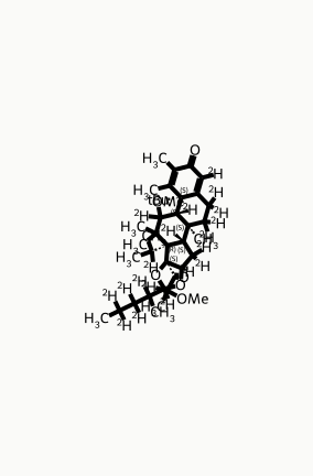 [2H]C1=C2C([2H])([2H])C([2H])([2H])[C@@]3(C)[C@]4([2H])C([2H])([2H])[C@@]5([2H])OC([2H])(C([2H])(C)C([2H])([2H])C([2H])([2H])C)O[C@@]5(C(=O)C([2H])(C)OC)[C@@]4(C([2H])(C)C)C(C)(C)C([2H])(OC)[C@]3([2H])[C@@]2(C(C)(C)C)C(C)=C(C)C1=O